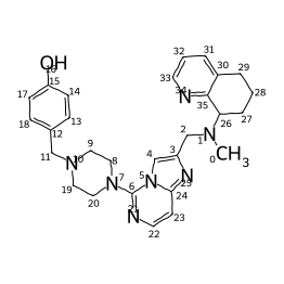 CN(Cc1cn2c(N3CCN(Cc4ccc(O)cc4)CC3)nccc2n1)C1CCCc2cccnc21